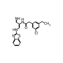 CCc1cc(Cl)cc(CC(=O)N/C(C=N)=C/Nc2nc3ccccc3s2)c1